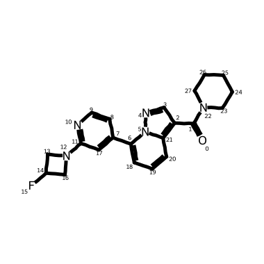 O=C(c1cnn2c(-c3ccnc(N4CC(F)C4)c3)cccc12)N1CCCCC1